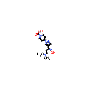 CN(C)CCC(=NO)c1cnn(C2CCN(C(=O)O)CC2)c1